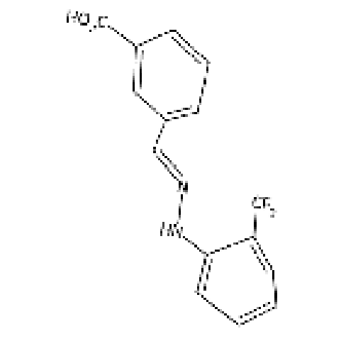 O=C(O)c1cccc(/C=N/Nc2ccccc2C(F)(F)F)c1